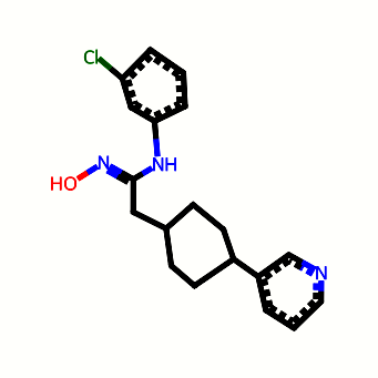 O/N=C(\CC1CCC(c2cccnc2)CC1)Nc1cccc(Cl)c1